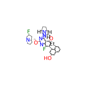 CCc1cccc2cc(O)cc(-c3cc4c5c(nc(OC[C@]67CCCN6C[C@@H](F)C7)nc5c3F)N3C[C@@H]5CC[C@@H](N5)[C@H]3CO4)c12